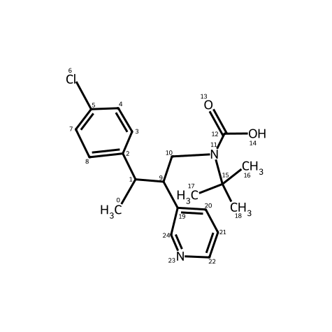 CC(c1ccc(Cl)cc1)C(CN(C(=O)O)C(C)(C)C)c1cccnc1